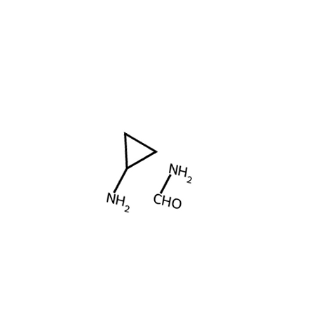 NC1CC1.NC=O